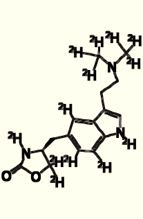 [2H]c1c(C[C@@H]2N([2H])C(=O)OC2([2H])[2H])c([2H])c2c(CCN(C([2H])([2H])[2H])C([2H])([2H])[2H])cn([2H])c2c1[2H]